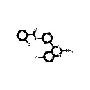 Nc1nc(-c2cccc(NC(=O)c3ccccc3Cl)c2)c2cc(Cl)ccc2n1